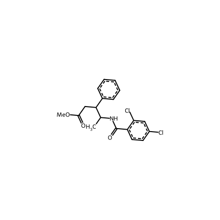 COC(=O)CC(c1ccccc1)C(C)NC(=O)c1ccc(Cl)cc1Cl